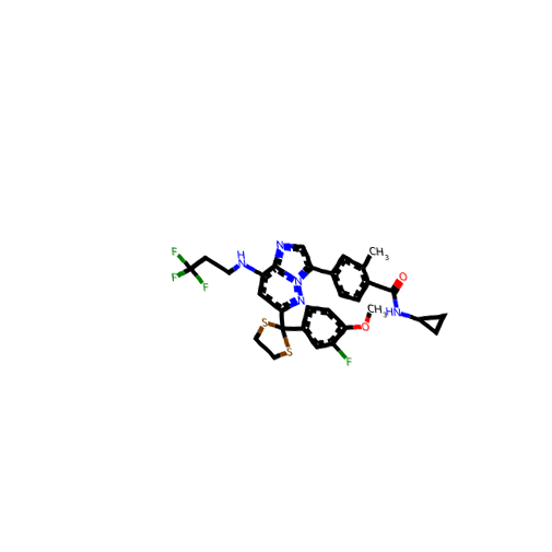 COc1ccc(C2(c3cc(NCCC(F)(F)F)c4ncc(-c5ccc(C(=O)NC6CC6)c(C)c5)n4n3)SCCS2)cc1F